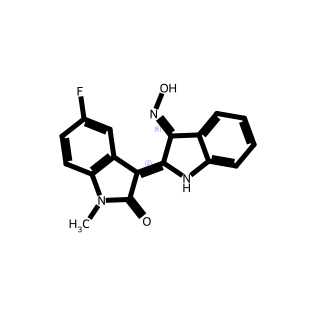 CN1C(=O)/C(=C2\Nc3ccccc3\C2=N/O)c2cc(F)ccc21